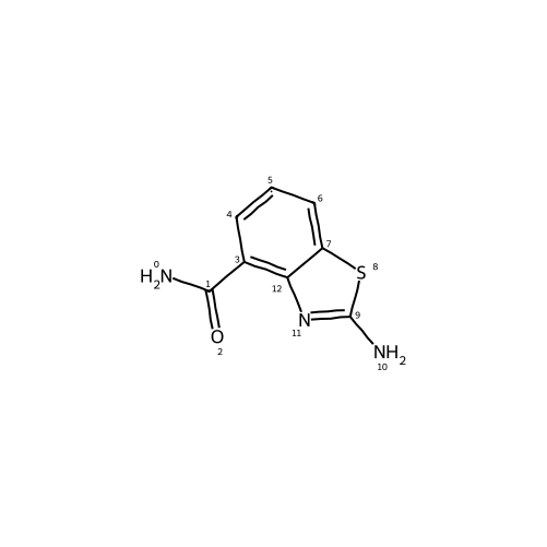 NC(=O)c1c[c]cc2sc(N)nc12